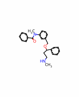 CNCCC(OCc1cccc(N(C)C(=O)c2ccccc2)c1)c1ccccc1